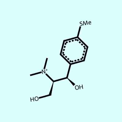 CSc1ccc([C@@H](O)[C@@H](CO)[N+](C)C)cc1